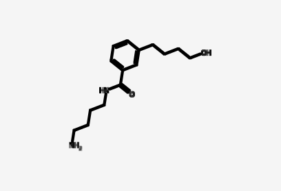 NCCCCNC(=O)c1cccc(CCCCO)c1